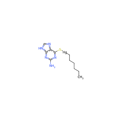 CCCCC[CH2][Hg][S]c1nc(N)nc2[nH]cnc12